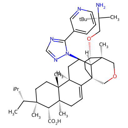 CC(C)[C@@H](C)[C@@]1(C)CC[C@]2(C)[C@H]3CC[C@@H]4[C@@]5(COC[C@]4(C)[C@@H](OC[C@](C)(N)C(C)(C)C)[C@H](n4ncnc4-c4cccnc4)C5)C3=CC[C@@]2(C)[C@@H]1C(=O)O